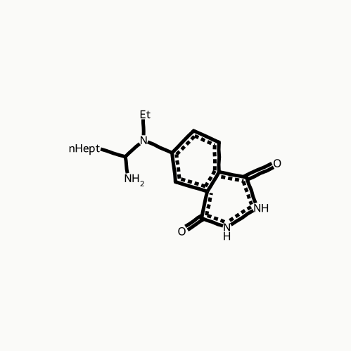 CCCCCCCC(N)N(CC)c1ccc2c(=O)[nH][nH]c(=O)c2c1